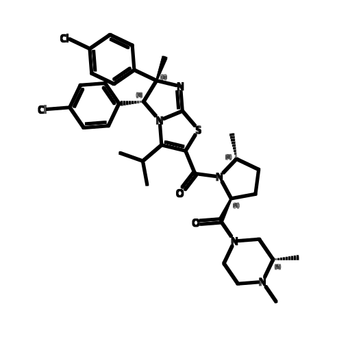 CC(C)C1=C(C(=O)N2[C@H](C)CC[C@H]2C(=O)N2CCN(C)[C@@H](C)C2)SC2=N[C@@](C)(c3ccc(Cl)cc3)[C@@H](c3ccc(Cl)cc3)N21